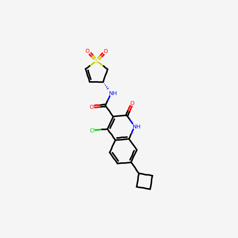 O=C(N[C@@H]1C=CS(=O)(=O)C1)c1c(Cl)c2ccc(C3CCC3)cc2[nH]c1=O